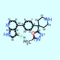 Cc1nnc(C2(c3ccc(-c4ccnc5[nH]cc(F)c45)cc3)CCNCC2)o1